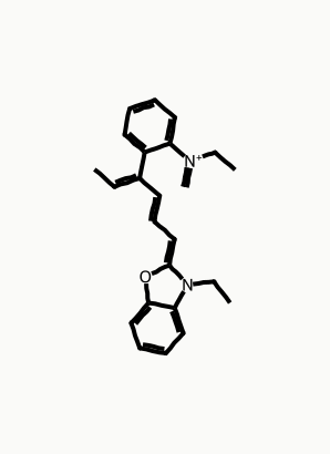 C=[N+](CC)c1ccccc1C(=C\C)/C=C/C=C1\Oc2ccccc2N1CC